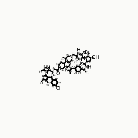 Cc1ncsc1-c1ccc([C@H](C)NC(=O)[C@@H]2C[C@@H](O)CN2C(=O)[C@@H](NC(=O)CN2C[C@H](C)N(C3CCN(C(=O)C[C@@H]4N=C(c5ccc(Cl)cc5)c5c(sc(C)c5C)-n5c(C)nnc54)CC3)C[C@H]2C)C(C)(C)C)cc1